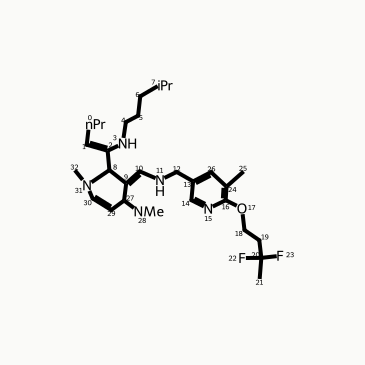 CCC/C=C(\NCCCC(C)C)C1/C(=C/NCc2cnc(OCCC(C)(F)F)c(C)c2)C(NC)C=CN1C